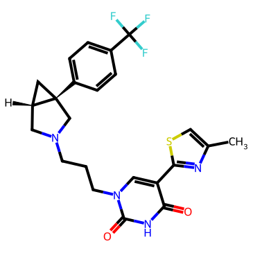 Cc1csc(-c2cn(CCCN3C[C@@H]4C[C@]4(c4ccc(C(F)(F)F)cc4)C3)c(=O)[nH]c2=O)n1